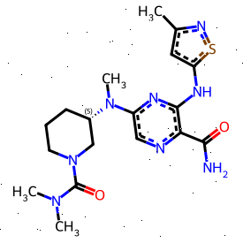 Cc1cc(Nc2nc(N(C)[C@H]3CCCN(C(=O)N(C)C)C3)cnc2C(N)=O)sn1